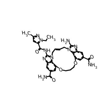 CCn1nc(C)cc1C(=O)Nc1nc2cc(C(N)=O)cc3c2n1C/C=C/Cn1c(N)nc2cc(C(N)=O)cc(c21)OCCCO3